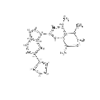 CC(C=O)c1c(C(N)=O)cc(-c2cnn3ccc(-c4cccs4)nc23)nc1N